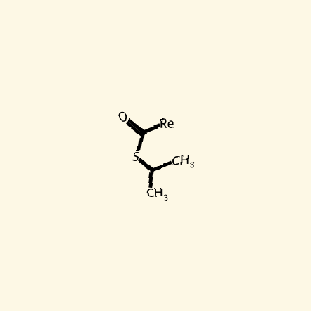 CC(C)S[C](=O)[Re]